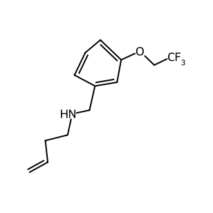 C=CCCNCc1cccc(OCC(F)(F)F)c1